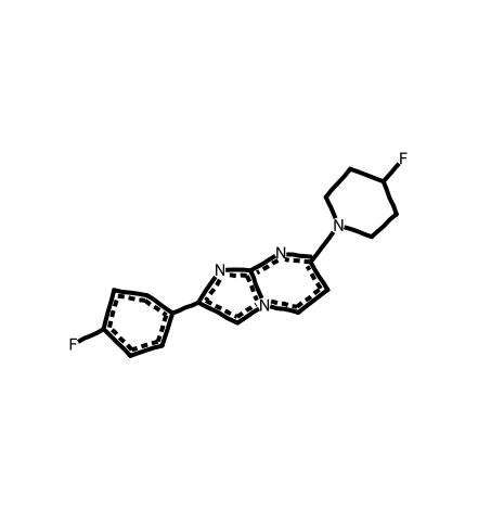 Fc1ccc(-c2cn3ccc(N4CCC(F)CC4)nc3n2)cc1